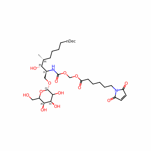 CCCCCCCCCCCCCC[C@@H](C)[C@@H](O)[C@H](CO[C@H]1OC(CO)[C@H](O)[C@H](O)C1O)NC(=O)OCOC(=O)CCCCCN1C(=O)C=CC1=O